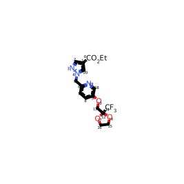 CCOC(=O)c1cnn(Cc2ccc(OCC3(C(F)(F)F)OCCO3)cn2)c1